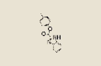 Cc1ccc(OC(=O)c2nc3ccccc3[nH]2)cc1